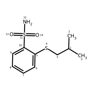 CC(C)CSc1ccccc1S(N)(=O)=O